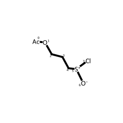 CC(=O)OCCC[S+]([O-])Cl